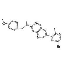 COc1ccc(CN(C)c2cc3ncc(-c4cc(Br)cnc4C)cc3cn2)cc1